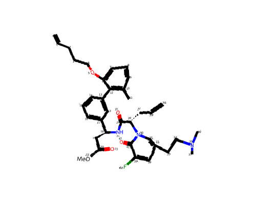 C=CCCCOc1cccc(C)c1-c1cccc([C@H](CC(=O)OC)NC(=O)[C@H](CC=C)n2cc(CCN(C)C)cc(F)c2=O)c1